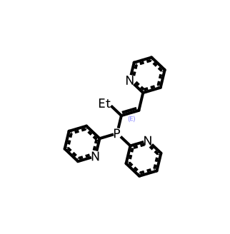 CC/C(=C\c1ccccn1)P(c1ccccn1)c1ccccn1